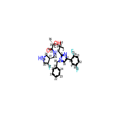 [CH2]CC(C)(C)[C@H](c1nc(-c2cc(F)ccc2F)cn1Cc1ccccc1)N(C[C@@H]1CNC[C@@H]1F)C(=O)[C@H](C)O